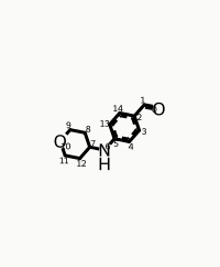 O=Cc1ccc(NC2CCOCC2)cc1